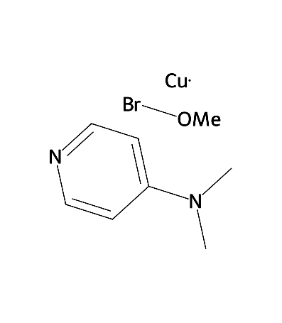 CN(C)c1ccncc1.COBr.[Cu]